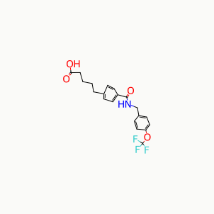 O=C(O)CCCCc1ccc(C(=O)NCc2ccc(OC(F)(F)F)cc2)cc1